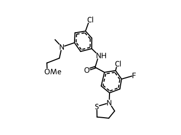 COCCN(C)c1cc(Cl)cc(NC(=O)c2cc(N3CCCS3)cc(F)c2Cl)c1